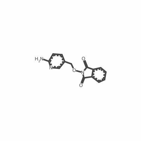 Nc1ccc(CON2C(=O)c3ccccc3C2=O)cn1